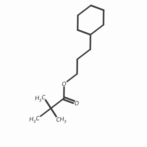 CC(C)(C)C(=O)OCCCC1CCCCC1